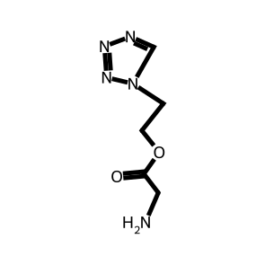 NCC(=O)OCCn1cnnn1